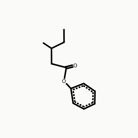 CCC(C)CC(=O)Oc1ccccc1